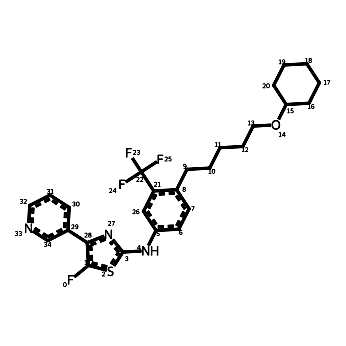 Fc1sc(Nc2ccc(CCCCCOC3CCCCC3)c(C(F)(F)F)c2)nc1-c1cccnc1